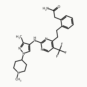 Cc1nn(C2CCN(C)CC2)cc1Nc1ncc(C(F)(F)F)c(CCc2ccccc2CC(N)=O)n1